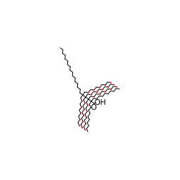 CCCCCCCCCCCCCCCCCC(CCCCCCCCCC)(CCCCCCCCCC)C(CCCCCCCCCC)(CCCCCCCCCC)C(CCCCCCCCCC)(CCCCCCCCCC)C(CCCCCCCCCC)(CCCCCCCCCC)C(=O)O